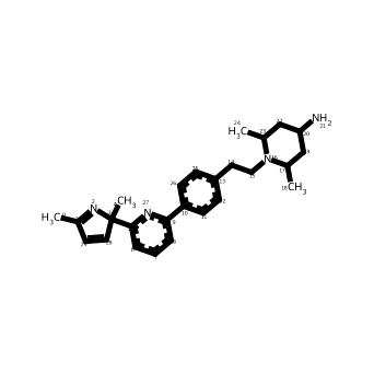 CC1=NC(C)(c2cccc(-c3ccc(CCN4C(C)CC(N)CC4C)cc3)n2)C=C1